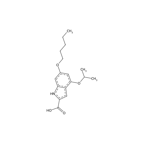 CCCCCOc1cc(OC(C)C)c2cc(C(=O)O)[nH]c2c1